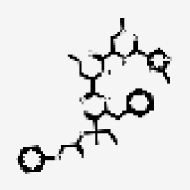 COCC(NC(=O)c1cnc(C)s1)C(=O)NC(COC)C(=O)NC(Cc1ccccc1)C(=O)C(C)(CI)OC(=O)COc1ccccc1